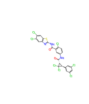 O=C(Nc1nc2cc(Cl)c(Cl)cc2s1)c1cc(NC(=O)[C@@H]2[C@@H](c3cc(Cl)cc(Cl)c3)C2(Cl)Cl)ccc1Cl